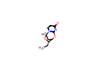 CC[C@H]1O[C@@H]2CC1Oc1nc(=O)ccn12